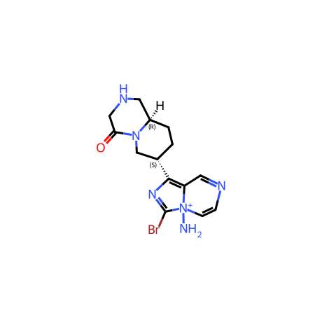 N[N+]12C=CN=CC1=C([C@H]1CC[C@@H]3CNCC(=O)N3C1)N=C2Br